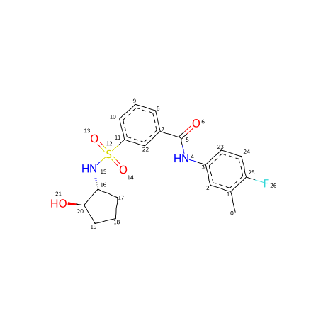 Cc1cc(NC(=O)c2cccc(S(=O)(=O)N[C@@H]3CCC[C@H]3O)c2)ccc1F